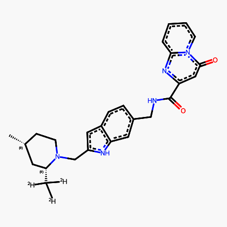 [2H]C([2H])([2H])[C@@H]1C[C@H](C)CCN1Cc1cc2ccc(CNC(=O)c3cc(=O)n4ccccc4n3)cc2[nH]1